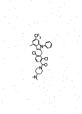 Cc1cc(C(F)(F)F)cc2c1cc(Cc1c(Cl)ccc(C(=O)N3CCC(N(C)C)CC3)c1Cl)n2-c1ccccc1